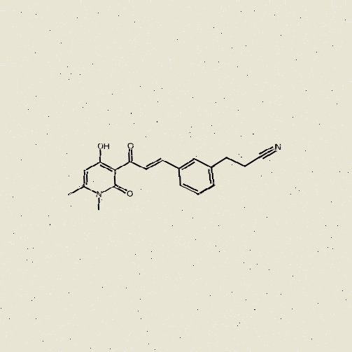 Cc1cc(O)c(C(=O)C=Cc2cccc(CCC#N)c2)c(=O)n1C